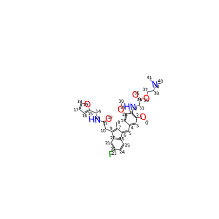 COc1cc(C=C2C(C)=C(CC(=O)NCc3ccco3)c3cc(F)ccc32)cc(OC)c1NCC(=O)OCCN(C)C